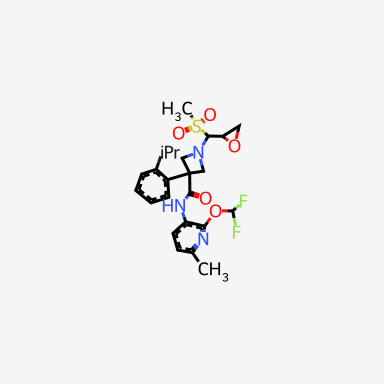 Cc1ccc(NC(=O)C2(c3ccccc3C(C)C)CN(C(C3CO3)S(C)(=O)=O)C2)c(OC(F)F)n1